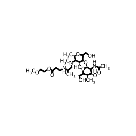 COCCOC(=O)CCNC(C)CN(C)C1[C@H](C)OC(CO)[C@@H](O[C@@H]2OC(CO)[C@H](C)[C@H](O)C2NC(C)=O)[C@@H]1O